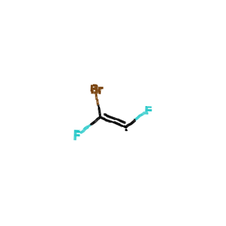 F/[C]=C(/F)Br